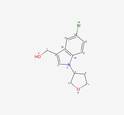 OCc1cn(C2CCOC2)c2ccc(Br)cc12